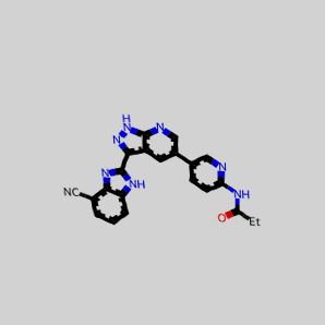 CCC(=O)Nc1ccc(-c2cnc3[nH]nc(-c4nc5c(C#N)cccc5[nH]4)c3c2)cn1